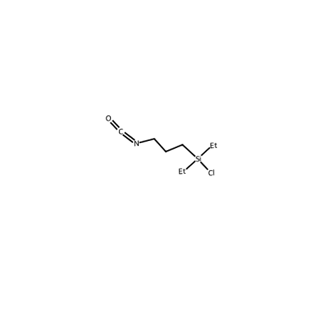 CC[Si](Cl)(CC)CCCN=C=O